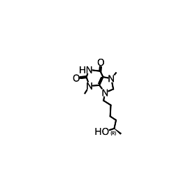 C[C@@H](O)CCCCN1CN(C)c2c1n(C)c(=O)[nH]c2=O